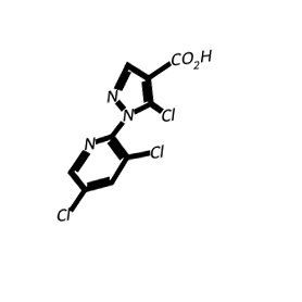 O=C(O)c1cnn(-c2ncc(Cl)cc2Cl)c1Cl